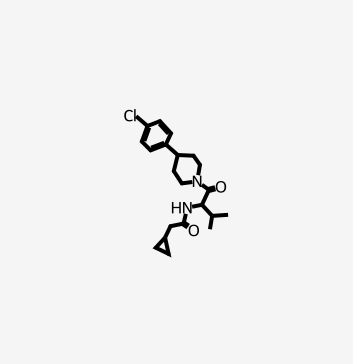 CC(C)C(NC(=O)CC1CC1)C(=O)N1CCC(c2ccc(Cl)cc2)CC1